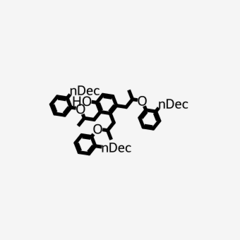 CCCCCCCCCCc1ccccc1OC(C)Cc1ccc(O)c(CC(C)Oc2ccccc2CCCCCCCCCC)c1CC(C)Oc1ccccc1CCCCCCCCCC